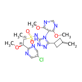 C=C1CC(c2nnc(NS(=O)(=O)[C@@H](C)[C@H](OC)c3ncc(Cl)cn3)n2-c2c(OC)ncnc2OC)C1